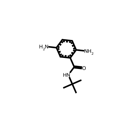 CC(C)(C)NC(=O)c1cc(N)ccc1N